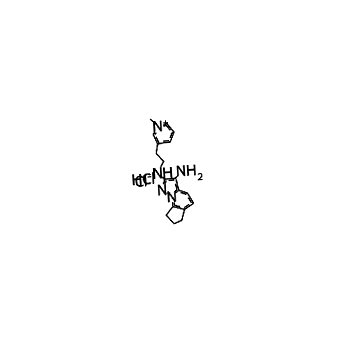 C[n+]1cccc(CCNc2nn3c4c(ccc3c2N)CCC4)c1.Cl.[Cl-]